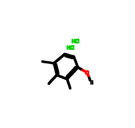 Cc1ccc([O][Ti])c(C)c1C.Cl.Cl